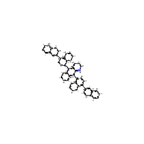 c1ccc2cc(-c3ccc(-c4c5ccccc5c(-c5ccc(-c6ccc7ccccc7c6)c6ccccc56)c5ncccc45)c4ccccc34)ccc2c1